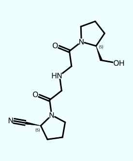 N#C[C@@H]1CCCN1C(=O)CNCC(=O)N1CCC[C@H]1CO